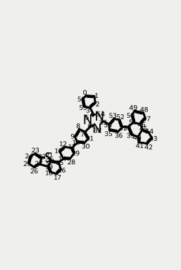 c1ccc(-c2nc(-c3ccc(-c4ccc(-c5cccc6c5sc5ccccc56)cc4)cc3)nc(-c3ccc(-c4cc5ccccc5c5ccccc45)cc3)n2)cc1